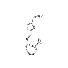 N=Cc1ccc(/C=N/c2ccccc2Cl)o1